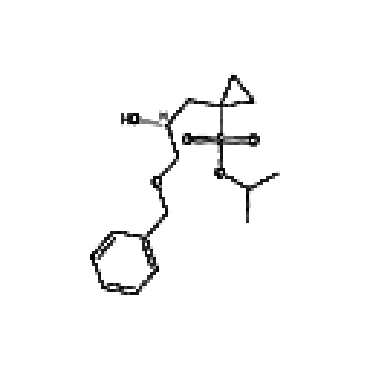 CC(C)OS(=O)(=O)C1(C[C@@H](O)COCc2ccccc2)CC1